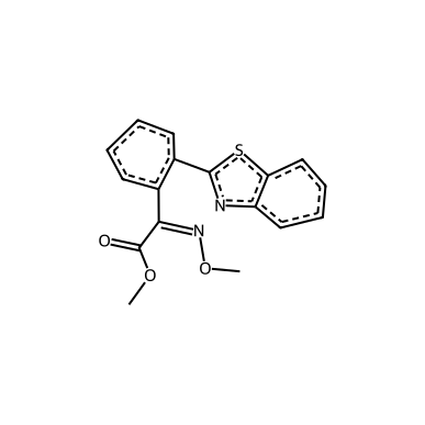 CON=C(C(=O)OC)c1ccccc1-c1nc2ccccc2s1